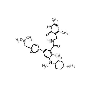 Cc1cc(C)c(CNC(=O)c2cc(-c3ccc(CN(C)C)nc3)cc(N(C)[C@H]3CC[C@@H](N)CC3)c2C)c(=O)[nH]1